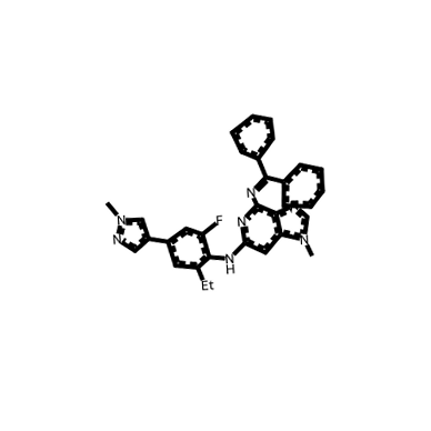 CCc1cc(-c2cnn(C)c2)cc(F)c1Nc1cc2c(ncn2C)c(N=C(c2ccccc2)c2ccccc2)n1